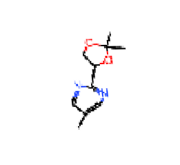 Cc1cnc(C2COC(C)(C)O2)nc1